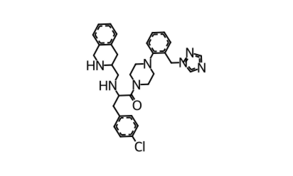 O=C(C(Cc1ccc(Cl)cc1)NCC1Cc2ccccc2CN1)N1CCN(c2ccccc2Cn2cncn2)CC1